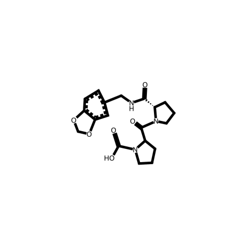 O=C(NCc1ccc2c(c1)OCO2)[C@@H]1CCCN1C(=O)C1CCCN1C(=O)O